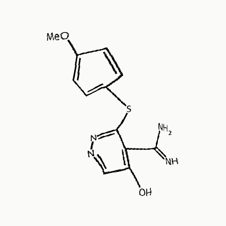 COc1ccc(Sc2nncc(O)c2C(=N)N)cc1